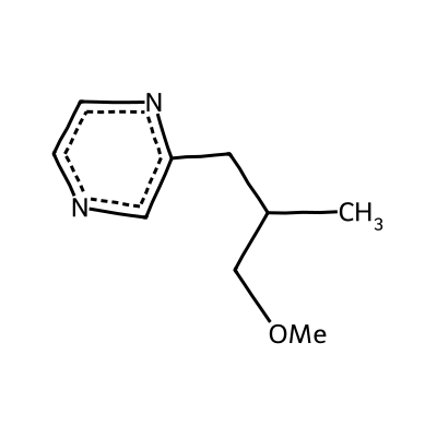 COCC(C)Cc1cnccn1